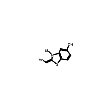 CCN1C(=CC(C)=O)Sc2ccc(O)cc21